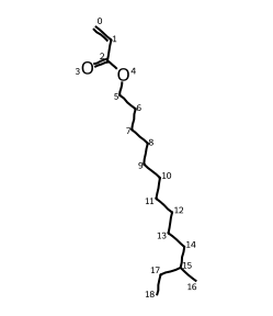 C=CC(=O)OCCCCCCCCCCC(C)CC